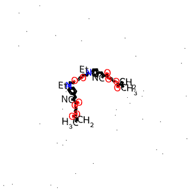 C=C(C)C(=O)OCCOC(=O)/C(C#N)=C/c1ccc(N(CC)CCOCCOCCN(CC)c2ccc(/C=C(\C#N)C(=O)OCCOC(=O)C(=C)C)cc2)cc1